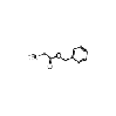 [CH2]C(C)(C)CC(=O)OCc1ccccc1